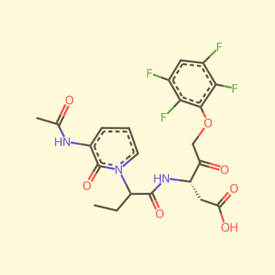 CCC(C(=O)N[C@@H](CC(=O)O)C(=O)COc1c(F)c(F)cc(F)c1F)n1cccc(NC(C)=O)c1=O